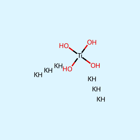 [KH].[KH].[KH].[KH].[KH].[KH].[OH][Ti]([OH])([OH])[OH]